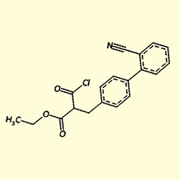 CCOC(=O)C(Cc1ccc(-c2ccccc2C#N)cc1)C(=O)Cl